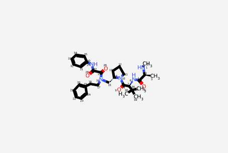 CN[C@@H](C)C(=O)N[C@H](C(=O)N1CCC[C@H]1CN(CCc1ccccc1)C(=O)C(=O)Nc1ccccc1)C(C)(C)C